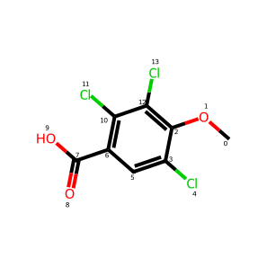 COc1c(Cl)cc(C(=O)O)c(Cl)c1Cl